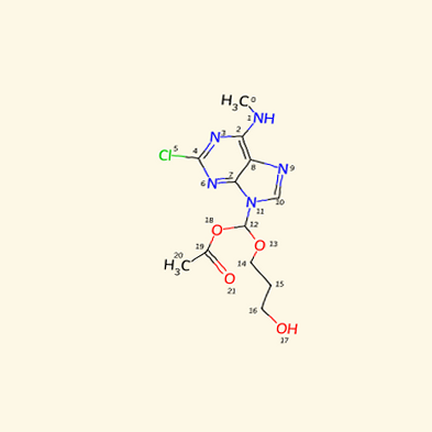 CNc1nc(Cl)nc2c1ncn2C(OCCCO)OC(C)=O